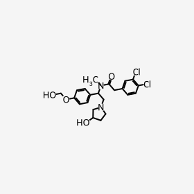 CN(C(=O)Cc1ccc(Cl)c(Cl)c1)C(CN1CCC(O)C1)c1ccc(OCO)cc1